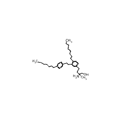 CCCCCCCCc1ccc(CCc2cc(CCC(C)(N)CO)ccc2CCCCCCCC)cc1